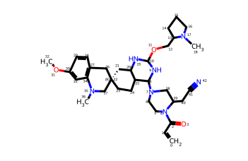 C=CC(=O)N1CCN(C2NC(OCC3CCCN3C)NC3C[C@@]4(CCC32)Cc2ccc(OC)cc2N(C)C4)CC1CC#N